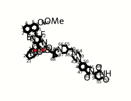 CCc1cccc2cc(OCOC)cc(-c3ncc4c(N5CC6CCC(C5)N6C(=O)OC(C)(C)C)nc(OCC5(CN6CCC(CN7CCN(c8ccc9c(c8)CN([C@H]8CCC(=O)NC8=O)C9=O)CC7)CC6)CC5)nc4c3F)c12